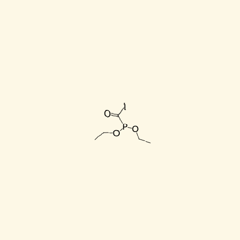 CCOP(OCC)C(=O)I